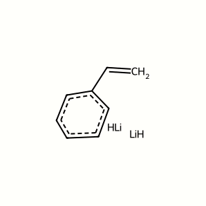 C=Cc1ccccc1.[LiH].[LiH]